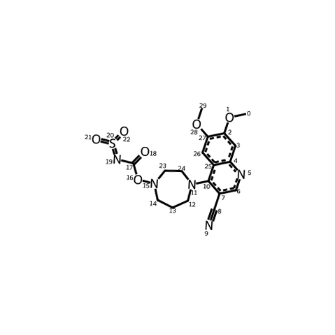 COc1cc2ncc(C#N)c(N3CCCN(OC(=O)N=S(=O)=O)CC3)c2cc1OC